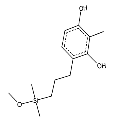 CO[Si](C)(C)CCCc1ccc(O)c(C)c1O